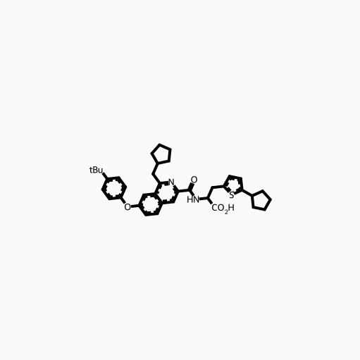 CC(C)(C)c1ccc(Oc2ccc3cc(C(=O)NC(Cc4ccc(C5CCCC5)s4)C(=O)O)nc(CC4CCCC4)c3c2)cc1